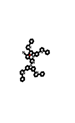 N#Cc1ccc(-c2cc(-n3c4ccc(-c5cccc(-c6ccccc6)n5)cc4c4cc(-c5cccc(-c6ccccc6)n5)ccc43)ncc2-n2c3ccc(-c4cccc(-c5ccccc5)n4)cc3c3cc(-c4cccc(-c5ccccc5)n4)ccc32)cc1